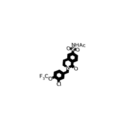 CC(=O)NS(=O)(=O)c1ccc2c(c1)CCN(Cc1ccc(OC(F)(F)F)c(Cl)c1)C2=O